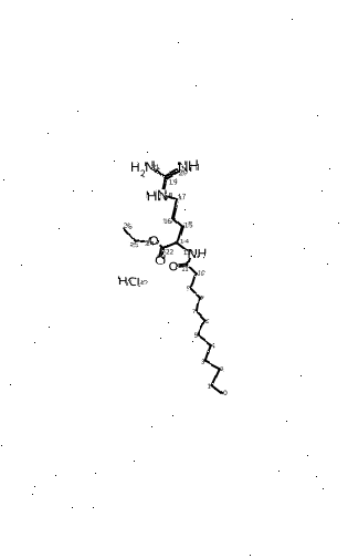 CCCCCCCCCCCC(=O)NC(CCCNC(=N)N)C(=O)OCC.Cl